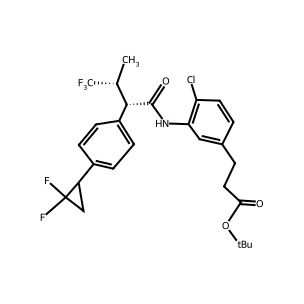 C[C@H]([C@H](C(=O)Nc1cc(CCC(=O)OC(C)(C)C)ccc1Cl)c1ccc(C2CC2(F)F)cc1)C(F)(F)F